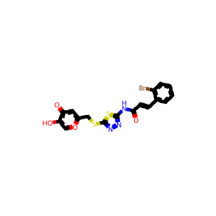 O=C(C=Cc1ccccc1Br)Nc1nnc(SCc2cc(=O)c(O)co2)s1